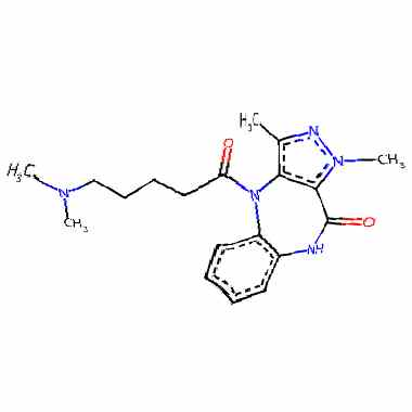 Cc1nn(C)c2c1N(C(=O)CCCCN(C)C)c1ccccc1NC2=O